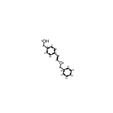 OCc1ccc(C=COCc2ccccc2)cc1